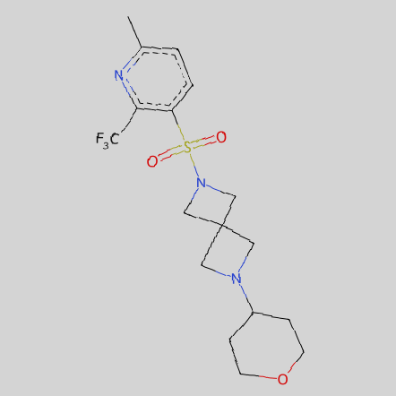 Cc1ccc(S(=O)(=O)N2CC3(CN(C4CCOCC4)C3)C2)c(C(F)(F)F)n1